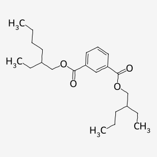 CCCCC(CC)COC(=O)c1cccc(C(=O)OCC(CC)CCC)c1